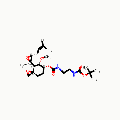 CO[C@@H]1[C@H](OC(=O)NCCNC(=O)OC(C)(C)C)CC[C@]2(CO2)[C@H]1[C@@]1(C)O[C@@H]1CC=C(C)C